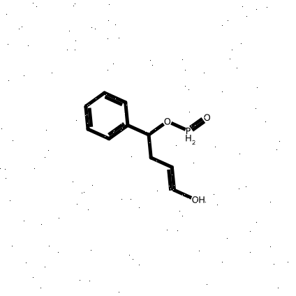 O=[PH2]OC(CC=CO)c1ccccc1